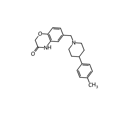 Cc1ccc(C2CCN(Cc3ccc4c(c3)NC(=O)CO4)CC2)cc1